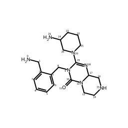 NCc1ccccc1CN1C(=O)N2CCNCC2N=C1N1CCCC(N)C1